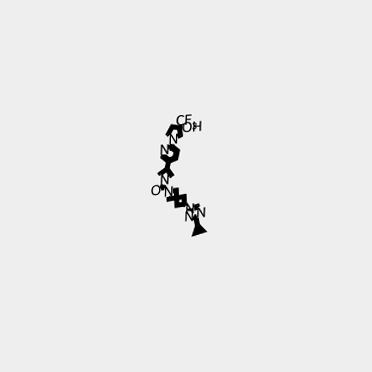 O=C(N1CC(c2ccc(N3CC[C@@](O)(C(F)(F)F)C3)nc2)C1)N1CC2(CC(n3cnc(C4CC4)n3)C2)C1